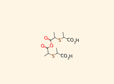 CC(SC(C)C(=O)OC(=O)C(C)SC(C)C(=O)O)C(=O)O